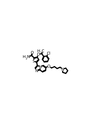 CC(Oc1cc(-c2cnc3ccc(OCCCCN4CCCC4)cn23)sc1C(N)=O)c1ccccc1Cl